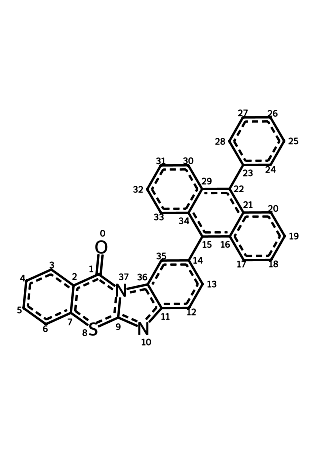 O=c1c2ccccc2sc2nc3ccc(-c4c5ccccc5c(-c5ccccc5)c5ccccc45)cc3n12